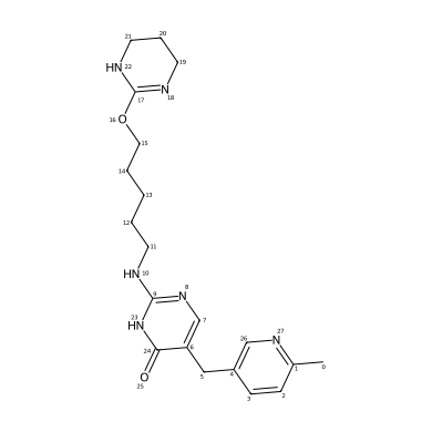 Cc1ccc(Cc2cnc(NCCCCCOC3=NCCCN3)[nH]c2=O)cn1